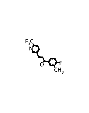 Cc1cc(C(=O)C=Cc2ccc(C(F)(F)F)nc2)ccc1F